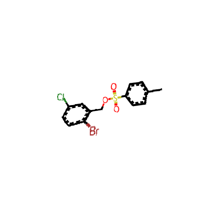 Cc1ccc(S(=O)(=O)OCc2cc(Cl)ccc2Br)cc1